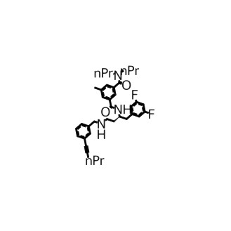 CCCC#Cc1cccc(CNCC[C@H](Cc2cc(F)cc(F)c2)NC(=O)c2cc(C)cc(C(=O)N(CCC)CCC)c2)c1